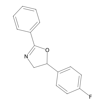 Fc1ccc(C2CN=C(c3ccccc3)O2)cc1